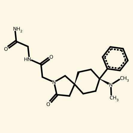 CN(C)[C@]1(c2ccccc2)CC[C@@]2(CC1)CC(=O)N(CC(=O)NCC(N)=O)C2